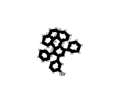 Brc1cccc(-c2cc(-c3ccccc3)c3c4cccc5ccc6cccc(c3c2-c2ccccc2)c6c54)c1